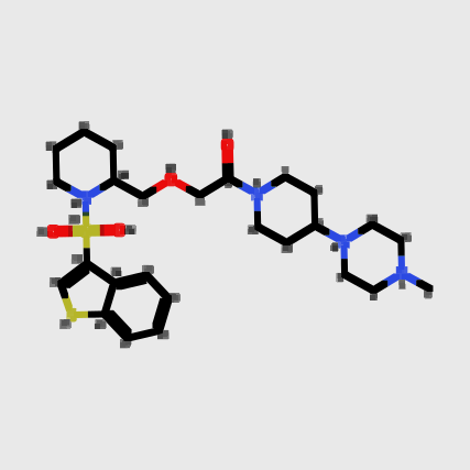 CN1CCN(C2CCN(C(=O)COCC3CCCCN3S(=O)(=O)c3csc4ccccc34)CC2)CC1